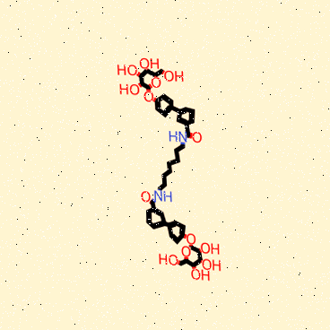 O=C(NCCCCCCCCNC(=O)c1cccc(-c2ccc(OC3OC(CO)C(O)C(O)C3O)cc2)c1)c1cccc(-c2ccc(OC3OC(CO)C(O)C(O)C3O)cc2)c1